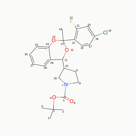 CC(C)(C)OC(=O)N1CCC(C2OC(C)(c3ccc(Cl)cc3F)Oc3ccccc32)C1